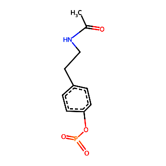 CC(=O)NCCc1ccc(OP(=O)=O)cc1